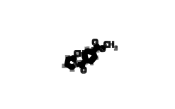 COC(=O)c1ccc(C(=O)N2CCCC2C)cc1